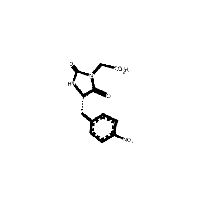 O=C(O)CN1C(=O)N[C@@H](Cc2ccc([N+](=O)[O-])cc2)C1=O